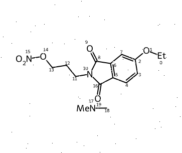 CCOc1ccc2c(c1)C(=O)N(CCCO[N+](=O)[O-])C2=O.CNC